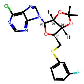 CC1(C)O[C@@H]2[C@H](O1)[C@@H](CSc1cccc(F)c1)O[C@H]2n1cnc2c(Cl)ncnc21